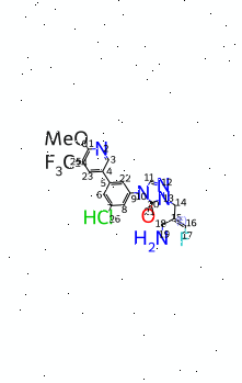 COc1ncc(-c2cccc(-n3cnn(C/C(=C/F)CN)c3=O)c2)cc1C(F)(F)F.Cl